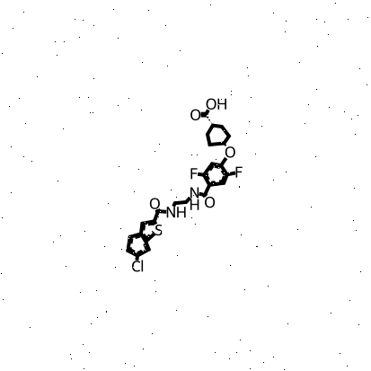 O=C(NCCNC(=O)c1cc(F)c(O[C@H]2CC[C@@H](C(=O)O)CC2)cc1F)c1cc2ccc(Cl)cc2s1